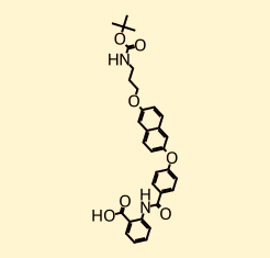 CC(C)(C)OC(=O)NCCCOc1ccc2cc(Oc3ccc(C(=O)Nc4ccccc4C(=O)O)cc3)ccc2c1